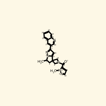 CC1CC2(CN(C(=O)c3ccnn3C)C2)c2cc(-c3cnc4ccccc4c3)nn21